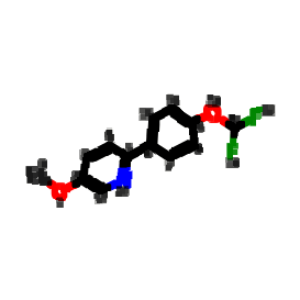 CCOc1ccc(-c2ccc(OC(F)F)cc2)nc1